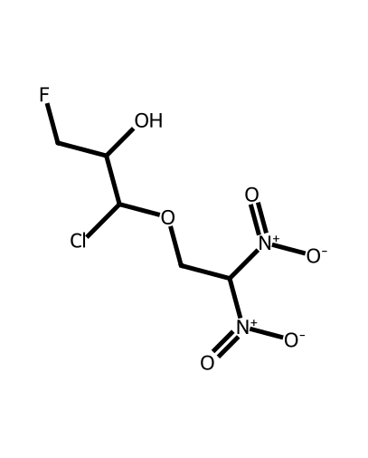 O=[N+]([O-])C(COC(Cl)C(O)CF)[N+](=O)[O-]